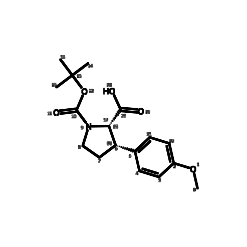 COc1ccc([C@@H]2CCN(C(=O)OC(C)(C)C)[C@@H]2C(=O)O)cc1